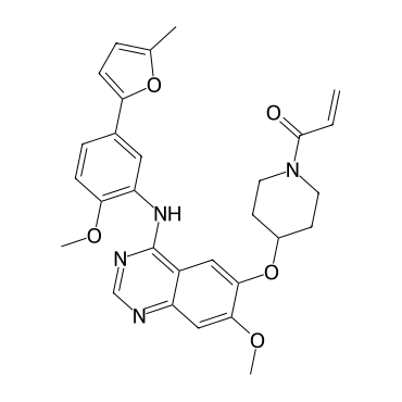 C=CC(=O)N1CCC(Oc2cc3c(Nc4cc(-c5ccc(C)o5)ccc4OC)ncnc3cc2OC)CC1